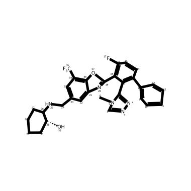 Cn1cnnc1-c1c(-c2ccccc2)ccc(F)c1-c1nc2cc(CNC3CCCC[C@H]3O)cc(C(F)(F)F)c2o1